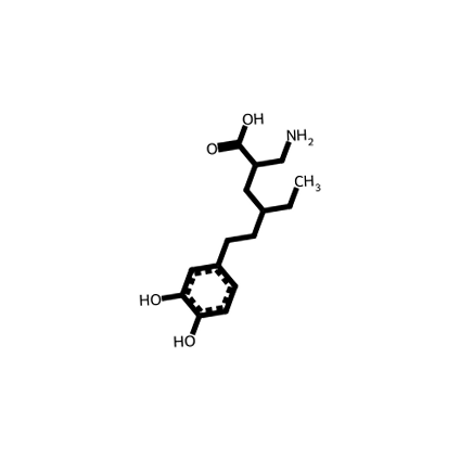 CCC(CCc1ccc(O)c(O)c1)CC(CN)C(=O)O